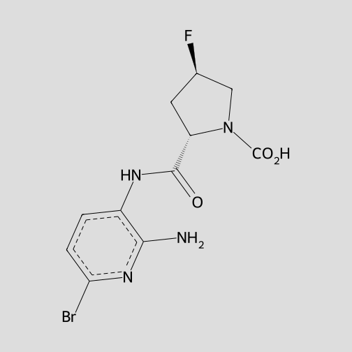 Nc1nc(Br)ccc1NC(=O)[C@@H]1C[C@@H](F)CN1C(=O)O